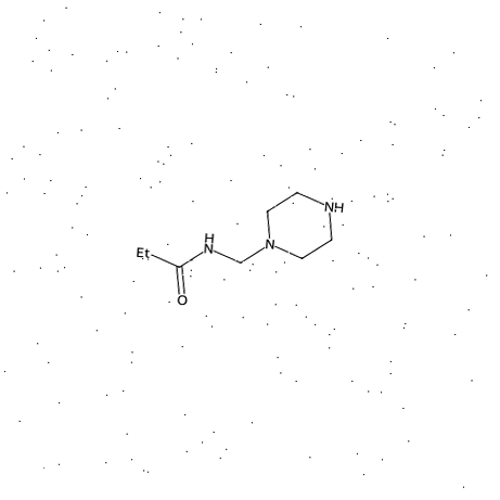 CCC(=O)NCN1CCNCC1